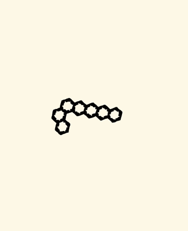 c1ccc2cc3cc4cc5c(ccc6ccc7ccccc7c65)cc4cc3cc2c1